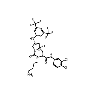 NCCCC[C@@H]1C(=O)N2C[C@H](Nc3cc(C(F)(F)F)cc(C(F)(F)F)c3)C[C@@H]2CN1C(=O)Nc1ccc(Cl)c(Cl)c1